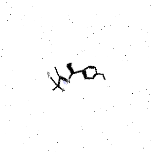 C=C(/N=C(\C)C(C)(F)F)c1ccc(CC)cc1